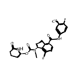 CN(C(=O)O[C@H]1CCCC(=O)N1)[C@H]1CCc2c(C(=O)Nc3ccc(F)c(Cl)c3)ccc(F)c21